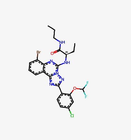 CCCNC(=O)[C@@H](CC)Nc1nc2c(Br)cccc2c2nc(-c3ccc(Cl)cc3OC(F)F)nn12